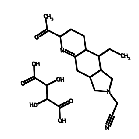 CCC1C2CCC(C(C)=O)N=C2CC2CN(CC#N)CC21.O=C(O)C(O)C(O)C(=O)O